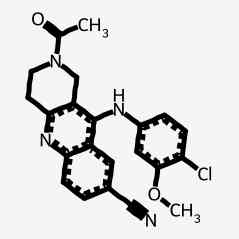 COc1cc(Nc2c3c(nc4ccc(C#N)cc24)CCN(C(C)=O)C3)ccc1Cl